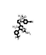 Cc1c(-c2ccnn2-c2ccc(C#N)cc2S(C)(=O)=O)cn2nc(N)nc2c1-c1cccc(C(F)(F)F)c1